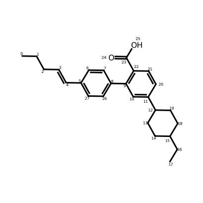 CCC/C=C/c1ccc(-c2cc(C3CCC(CC)CC3)ccc2C(=O)O)cc1